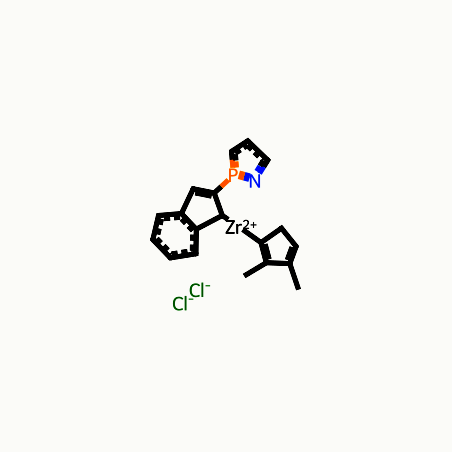 CC1=CC[C]([Zr+2][CH]2C(p3cccn3)=Cc3ccccc32)=C1C.[Cl-].[Cl-]